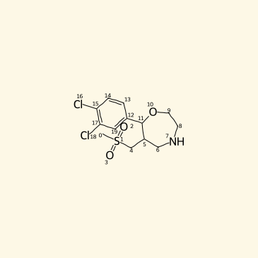 CS(=O)(=O)CC1CNCCOC1c1ccc(Cl)c(Cl)c1